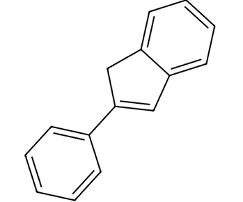 [c]1ccc2c(c1)CC(c1ccccc1)=C2